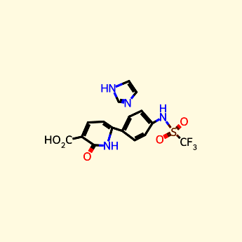 O=C(O)c1ccc(-c2ccc(NS(=O)(=O)C(F)(F)F)cc2)[nH]c1=O.c1c[nH]cn1